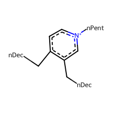 CCCCCCCCCCCc1cc[n+](CCCCC)cc1CCCCCCCCCCC